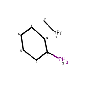 CCCC.PC1CCCCC1